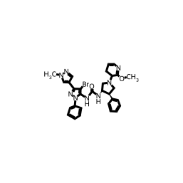 COC1=NC=CCC1N1C[C@@H](NC(=O)Nc2c(Br)c(-c3cnn(C)c3)nn2-c2ccccc2)[C@H](c2ccccc2)C1